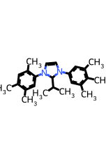 Cc1cc(C)c(N2C=CN(c3cc(C)c(C)c(C)c3)C2C(C)C)cc1C